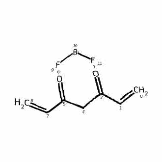 C=CC(=O)CC(=O)C=C.F[B]F